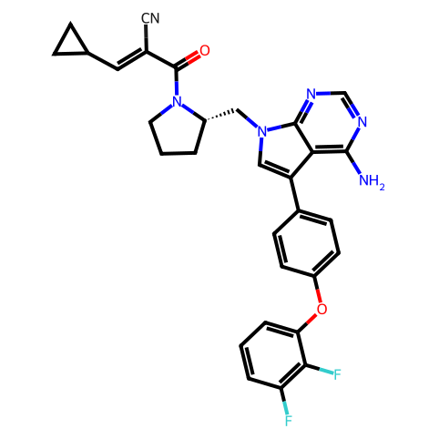 N#C/C(=C\C1CC1)C(=O)N1CCC[C@H]1Cn1cc(-c2ccc(Oc3cccc(F)c3F)cc2)c2c(N)ncnc21